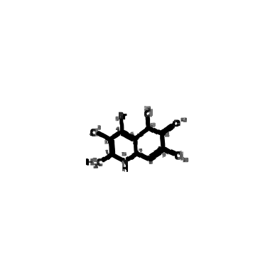 CC1=C(Cl)C(Br)=C2C(C=C(Cl)C(=O)C2Cl)N1